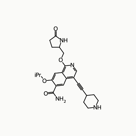 CC(C)Oc1cc2c(OCC3CCC(=O)N3)ncc(C#CC3CCNCC3)c2cc1C(N)=O